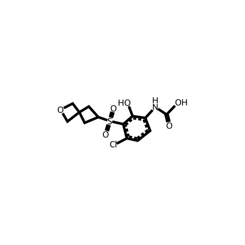 O=C(O)Nc1ccc(Cl)c(S(=O)(=O)C2CC3(COC3)C2)c1O